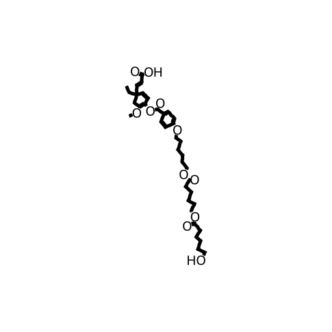 CCC1(C=CC(=O)O)C=CC(OC(=O)c2ccc(OCCCCCCOC(=O)CCCCCOC(=O)CCCCCO)cc2)=C(OC)C1